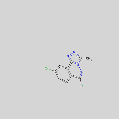 Cc1nnc2c3cc(Cl)ccc3c(Cl)nn12